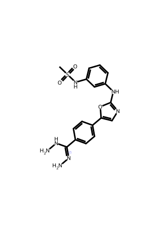 CS(=O)(=O)Nc1cccc(Nc2ncc(-c3ccc(/C(=N/N)NN)cc3)o2)c1